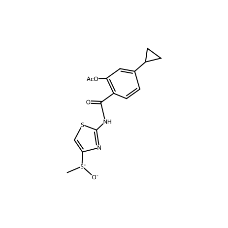 CC(=O)Oc1cc(C2CC2)ccc1C(=O)Nc1nc([S+](C)[O-])cs1